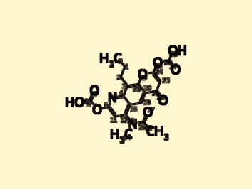 CCCc1c2nc(OC(=O)O)cc(N(C)C(C)=O)c2cc2c(=O)cc(OC(=O)O)oc12